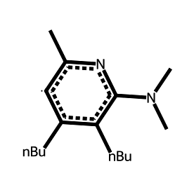 CCCCc1[c]c(C)nc(N(C)C)c1CCCC